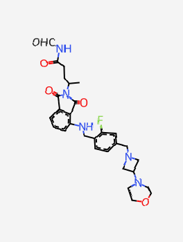 CC(CCC(=O)NC=O)N1C(=O)c2cccc(NCc3ccc(CN4CC(N5CCOCC5)C4)cc3F)c2C1=O